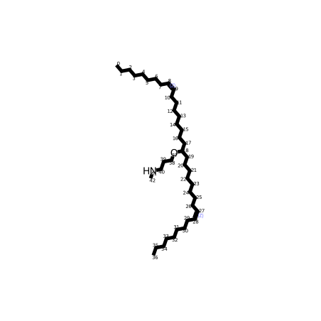 CCCCCCCC/C=C\CCCCCCCCC(CCCCCCCC/C=C\CCCCCCCC)OCCCNC